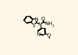 COc1cncc(N(C(N)=O)c2nc3ccccc3s2)c1